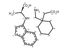 C[C@H](Nc1csc2ccccc12)C(=O)O.NCC1(CC(=O)O)CCCCC1